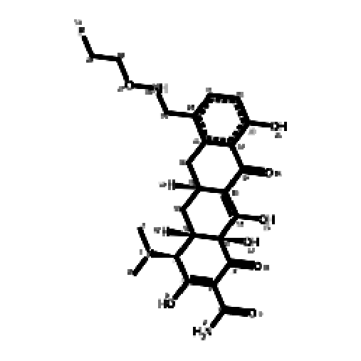 CN(C)[C@@H]1C(O)=C(C(N)=O)C(=O)[C@@]2(O)C(O)=C3C(=O)c4c(O)ccc(CNOCCF)c4C[C@H]3C[C@@H]12